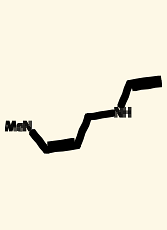 C=CNC/C=C\NC